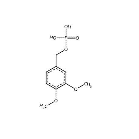 COc1ccc(COP(=O)(O)O)cc1OC